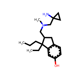 CCCC1(CC)c2cc(O)ccc2CC1CN(C)CC1(N)CC1